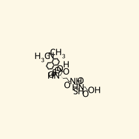 CN(C)c1cccc2c(S(=O)(=O)N[C@@H](CCC(=O)N[C@@H](CS)C(=O)NCC(=O)O)C(=O)O)cccc12